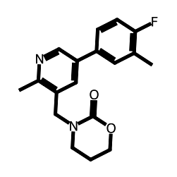 Cc1cc(-c2cnc(C)c(CN3CCCOC3=O)c2)ccc1F